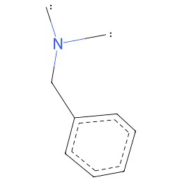 [CH]N([CH])Cc1ccccc1